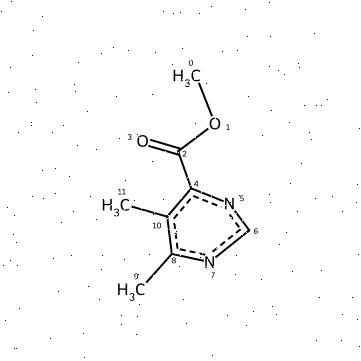 COC(=O)c1ncnc(C)c1C